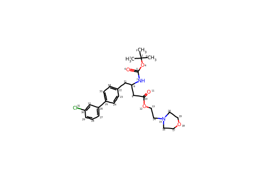 CC(C)(C)OC(=O)NC(CC(=O)OCCN1CCOCC1)Cc1ccc(-c2cccc(Cl)c2)cc1